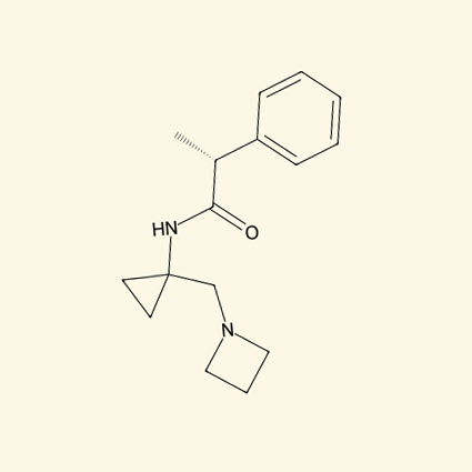 C[C@@H](C(=O)NC1(CN2CCC2)CC1)c1ccccc1